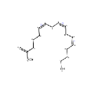 COC(=O)CCC/C=C\C/C=C\C/C=C\CCCO